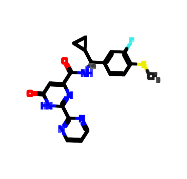 O=C(N[C@@H](c1ccc(SC(F)(F)F)c(F)c1)C1CC1)c1cc(=O)[nH]c(-c2ncccn2)n1